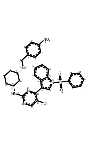 O=[N+]([O-])c1ccc(CN[C@H]2CCC[C@@H](Nc3ncc(Cl)c(-c4cn(S(=O)(=O)c5ccccc5)c5ccccc45)n3)C2)cc1